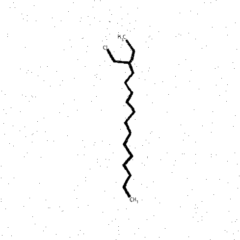 CCCCCCCCCCCCCC(CC)CCl